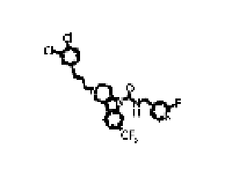 O=C(NCc1ccnc(F)c1)n1c2c(c3ccc(C(F)(F)F)cc31)CN(CC=Cc1ccc(Cl)c(Cl)c1)CC2